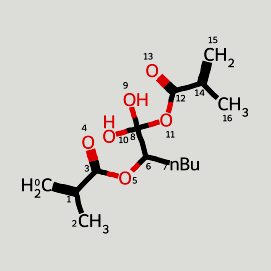 C=C(C)C(=O)OC(CCCC)C(O)(O)OC(=O)C(=C)C